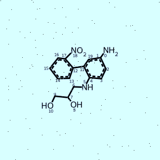 Nc1ccc(NCC(O)CO)c(-c2ccccc2[N+](=O)[O-])c1